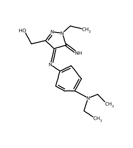 CCN1N=C(CO)C(=Nc2ccc(N(CC)CC)cc2)C1=N